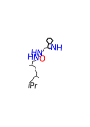 CC(C)CCCC(C)CCCC(C)CCNC(=O)NCCc1c[nH]c2ccccc12